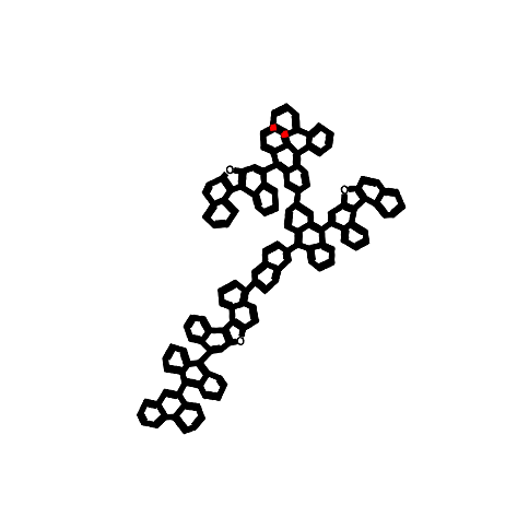 c1ccc(-c2ccccc2-c2c3ccccc3c(-c3cc4oc5ccc6ccccc6c5c4c4ccccc34)c3cc(-c4ccc5c(-c6ccc7cc(-c8cccc9c8ccc8oc%10cc(-c%11c%12ccccc%12c(-c%12cc%13ccccc%13c%13ccccc%12%13)c%12ccccc%11%12)c%11ccccc%11c%10c89)ccc7c6)c6ccccc6c(-c6cc7oc8ccc9ccccc9c8c7c7ccccc67)c5c4)ccc23)cc1